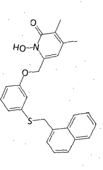 Cc1cc(COc2cccc(SCc3cccc4ccccc34)c2)n(O)c(=O)c1C